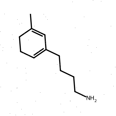 CC1=CC(CCCCN)=CCC1